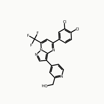 OCc1cc(-c2cnn3c(C(F)(F)F)cc(-c4ccc(Cl)c(Cl)c4)nc23)ccn1